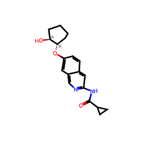 O=C(Nc1cc2ccc(O[C@H]3CCCC[C@@H]3O)cc2cn1)C1CC1